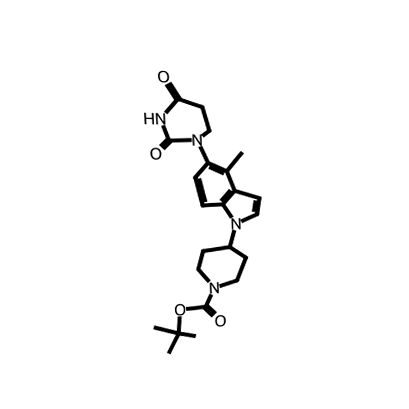 Cc1c(N2CCC(=O)NC2=O)ccc2c1ccn2C1CCN(C(=O)OC(C)(C)C)CC1